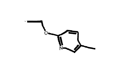 [CH2]COc1ccc(C)cn1